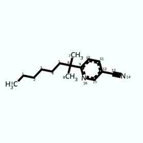 CCCCCCC(C)(C)c1ccc(C#N)cn1